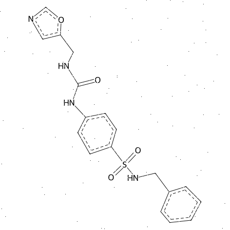 O=C(NCc1cnco1)Nc1ccc(S(=O)(=O)NCc2ccccc2)cc1